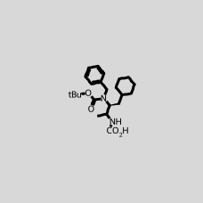 CC(NC(=O)O)[C@H](CC1CCCCC1)N(Cc1ccccc1)C(=O)OC(C)(C)C